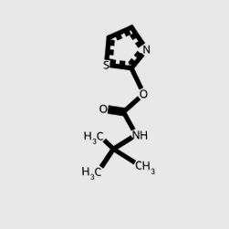 CC(C)(C)NC(=O)Oc1nccs1